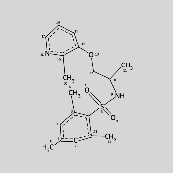 Cc1cc(C)c(S(=O)(=O)NC(C)COc2cccnc2C)c(C)c1